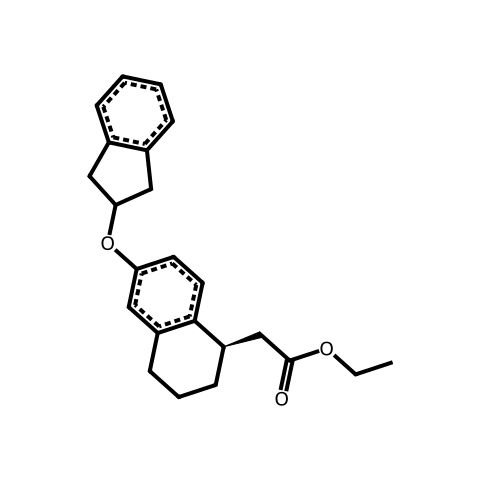 CCOC(=O)C[C@H]1CCCc2cc(OC3Cc4ccccc4C3)ccc21